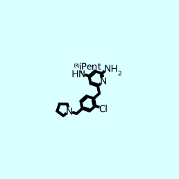 CCC[C@@H](C)Nc1cc(N)nc(Cc2ccc(CN3CCCC3)cc2Cl)c1